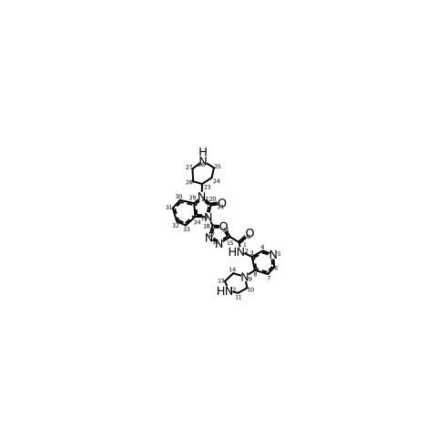 O=C(Nc1cnccc1N1CCNCC1)c1nnc(-n2c(=O)n(C3CCNCC3)c3ccccc32)o1